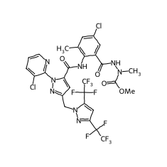 COC(=O)N(C)NC(=O)c1cc(Cl)cc(C)c1NC(=O)c1cc(Cn2nc(C(F)(F)C(F)(F)F)cc2C(F)(F)C(F)(F)F)nn1-c1ncccc1Cl